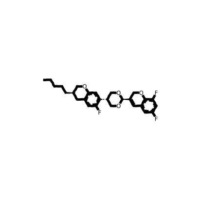 CCCCC[C@H]1COc2cc([C@H]3CO[C@H](C4=Cc5cc(F)cc(F)c5OC4)OC3)c(F)cc2C1